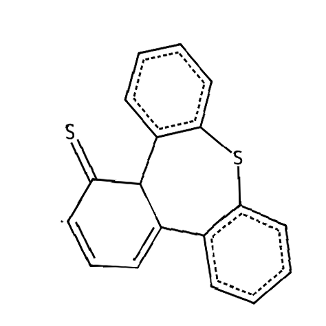 S=C1[C]=CC=C2c3ccccc3Sc3ccccc3C12